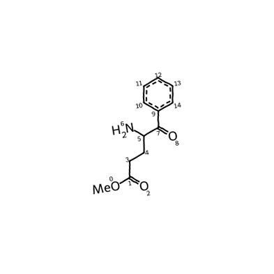 COC(=O)CCC(N)C(=O)c1ccccc1